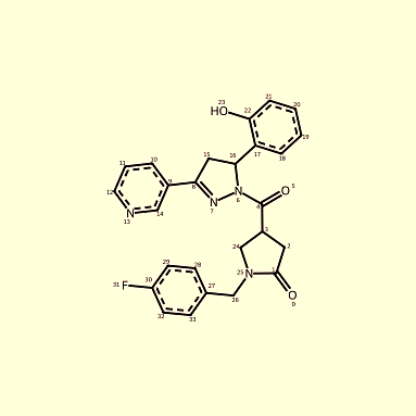 O=C1CC(C(=O)N2N=C(c3cccnc3)CC2c2ccccc2O)CN1Cc1ccc(F)cc1